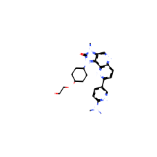 CN(C)c1ccc(-c2ccc3ncc4c(c3n2)n(C2CCC(OCCO)CC2)c(=O)n4C)cn1